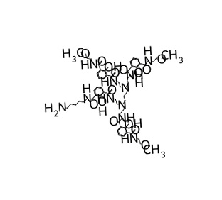 COCCNC(=O)c1cccc(C(=O)NCCN(CCCN(CCNC(=O)c2cccc(C(=O)NCCOC)c2O)CCNC(=O)c2cccc(C(=O)NCCOC)c2O)CCNC(=O)c2cccc(C(=O)NCCCCCN)c2O)c1O